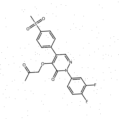 CC(=O)COc1c(-c2ccc(S(C)(=O)=O)cc2)cnn(-c2ccc(F)c(F)c2)c1=O